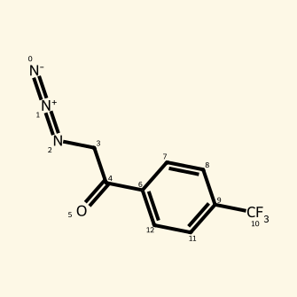 [N-]=[N+]=NCC(=O)c1ccc(C(F)(F)F)cc1